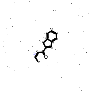 C/C=C\C(=O)C1=Cc2ccccc2C1